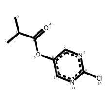 CC(C)C(=O)Oc1cnc(Cl)nc1